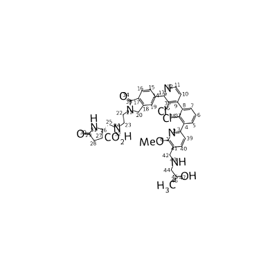 COc1nc(-c2cccc(-c3ccnc(-c4ccc5c(c4)CN(CCN(C[C@@H]4CCC(=O)N4)C(=O)O)C5=O)c3Cl)c2Cl)ccc1CNC[C@H](C)O